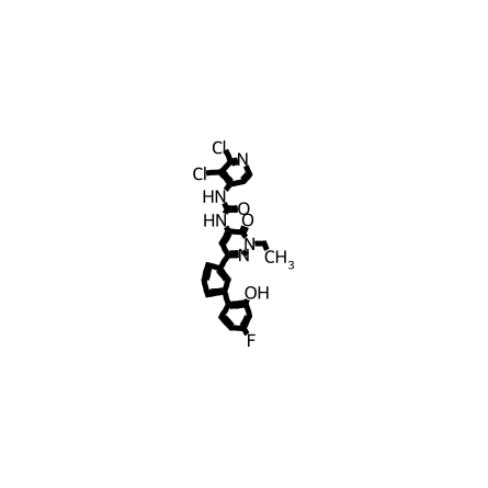 CCn1nc(-c2cccc(-c3ccc(F)cc3O)c2)cc(NC(=O)Nc2ccnc(Cl)c2Cl)c1=O